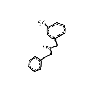 FC(F)(F)c1cccc(CNCc2ccccc2)c1